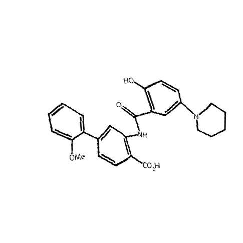 COc1ccccc1-c1ccc(C(=O)O)c(NC(=O)c2cc(N3CCCCC3)ccc2O)c1